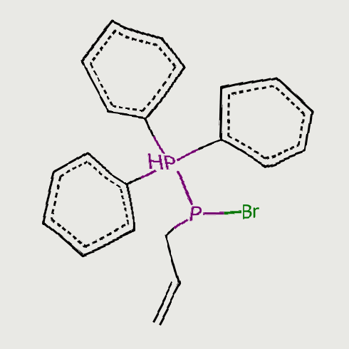 C=CCP(Br)[PH](c1ccccc1)(c1ccccc1)c1ccccc1